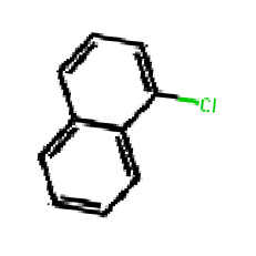 Clc1[c]ccc2c[c]ccc12